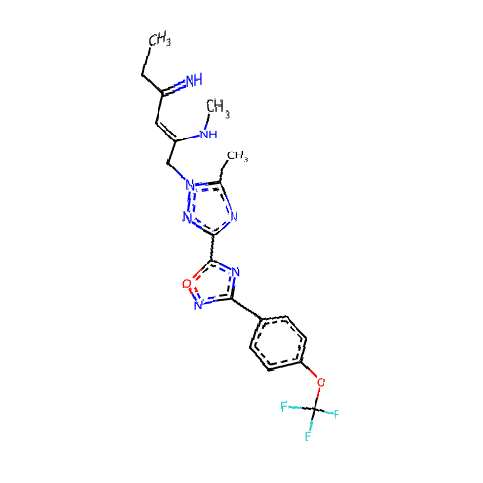 CCC(=N)/C=C(/Cn1nc(-c2nc(-c3ccc(OC(F)(F)F)cc3)no2)nc1C)NC